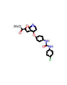 COC(=O)c1cc2c(Oc3ccc(NC(=O)Nc4ccc(F)cc4)cc3)ccnc2o1